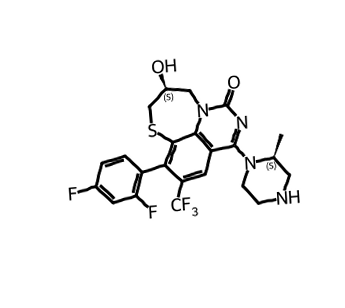 C[C@H]1CNCCN1c1nc(=O)n2c3c(c(-c4ccc(F)cc4F)c(C(F)(F)F)cc13)SC[C@@H](O)C2